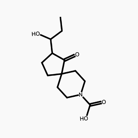 CCC(O)C1CCC2(CCN(C(=O)O)CC2)C1=O